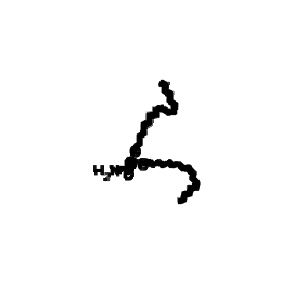 CCCCC/C=C\C/C=C\CCCCCCCCOC[C@@H]1CN(C(=O)CCN)C[C@H]1COCCCCCCCC/C=C\C/C=C\CCCCC